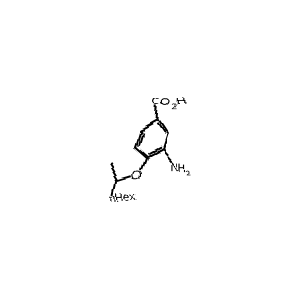 CCCCCCC(C)Oc1ccc(C(=O)O)cc1N